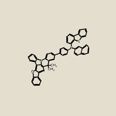 CC1(C)c2cc(-c3ccc(N(c4ccc5ccccc5c4)c4cccc5c4sc4ccccc45)cc3)ccc2-n2c3ccccc3c3c4oc5ccccc5c4cc1c32